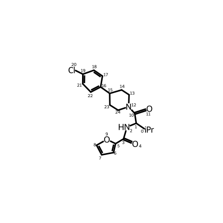 CC(C)C(NC(=O)c1ccco1)C(=O)N1CCC(c2ccc(Cl)cc2)CC1